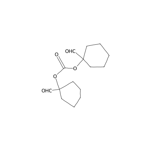 O=CC1(OC(=O)OC2(C=O)CCCCC2)CCCCC1